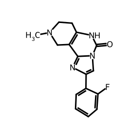 CN1CCc2[nH]c(=O)n3cc(-c4ccccc4F)nc3c2C1